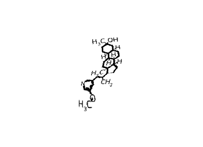 COc1cncc(C[C@H](C)[C@H]2CC[C@H]3[C@@H]4CC[C@@H]5C[C@](C)(O)CC[C@@H]5[C@H]4CC[C@]23C)c1